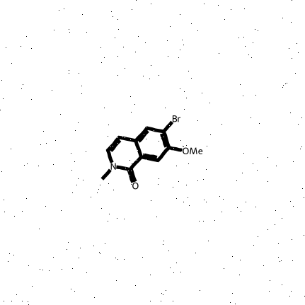 COc1cc2c(=O)n(C)ccc2cc1Br